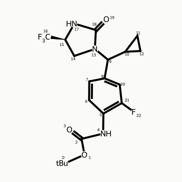 CC(C)(C)OC(=O)Nc1ccc(C(C2CC2)N2C[C@@H](C(F)(F)F)NC2=O)cc1F